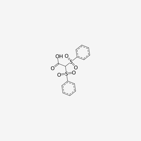 O=C(O)C(S(=O)(=O)c1ccccc1)S(=O)(=O)c1ccccc1